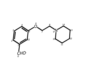 O=[C]c1cccc(OCCN2CCCCC2)c1